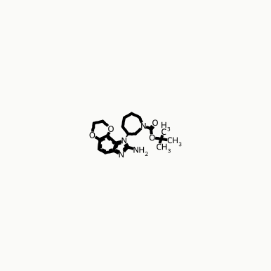 CC(C)(C)OC(=O)N1CCCC[C@@H](n2c(N)nc3ccc4c(c32)OCCO4)C1